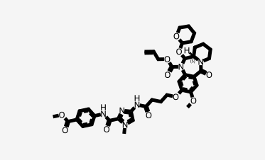 C=CCOC(=O)N1c2cc(OCCCC(=O)Nc3cn(C)c(C(=O)Nc4ccc(C(=O)OC)cc4)n3)c(OC)cc2C(=O)N2CCCC[C@H]2C1OC1CCCCO1